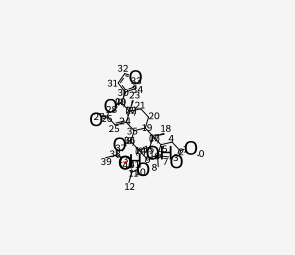 COC(=O)CC1C(C)(C)C(OC(C)=O)[C@H]2C(O)[C@]1(C)C1CC[C@]3(C)C(=CC(=O)O[C@H]3c3ccoc3)C1[C@@H]2OC(C)=O